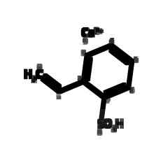 C=Cc1ccccc1S(=O)(=O)O.[Ca+2]